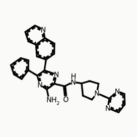 Nc1nc(-c2ccccc2)c(-c2ccc3ncccc3c2)nc1C(=O)NC1CCN(c2ncccn2)CC1